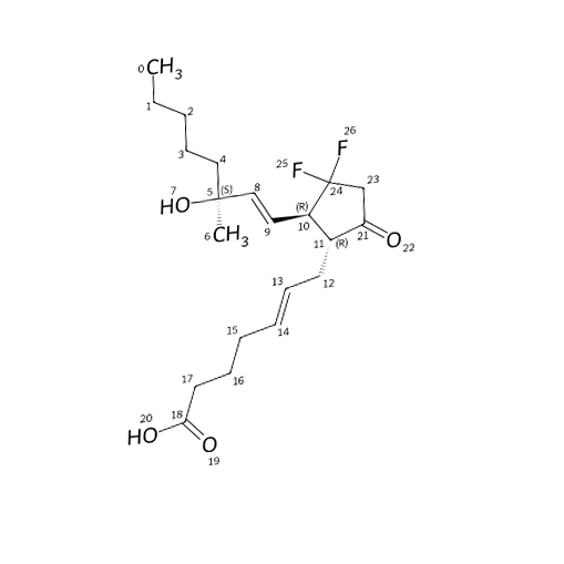 CCCCC[C@](C)(O)C=C[C@@H]1[C@@H](CC=CCCCC(=O)O)C(=O)CC1(F)F